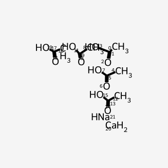 CC(=O)O.CC(=O)O.CC(=O)O.CC(=O)O.CC(=O)O.[CaH2].[NaH]